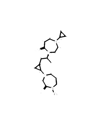 CC(C)N1CCCN(C2CC2CC(C)N2CCN(C3CC3)CCC2=O)CC1=O